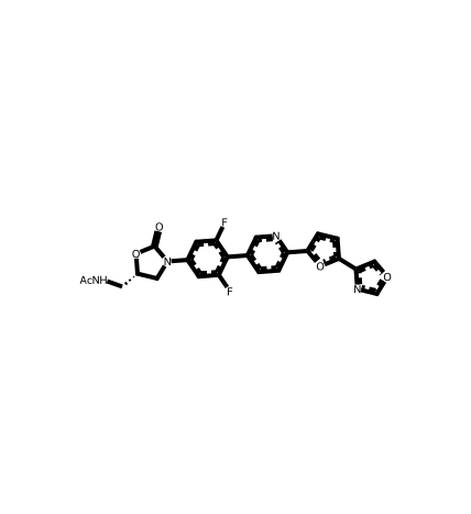 CC(=O)NC[C@H]1CN(c2cc(F)c(-c3ccc(-c4ccc(-c5cocn5)o4)nc3)c(F)c2)C(=O)O1